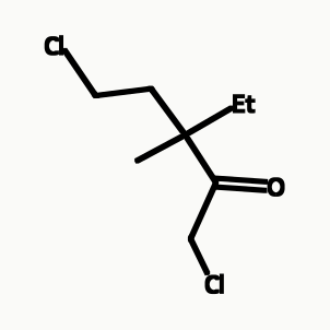 CCC(C)(CCCl)C(=O)CCl